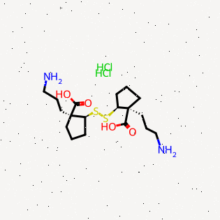 Cl.Cl.NCCC[C@@]1(C(=O)O)CCC[C@@H]1SS[C@H]1CCC[C@@]1(CCCN)C(=O)O